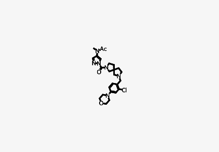 CC(=O)N(C)c1cnn(C(=O)N2CCC3(CCN(Cc4ccc(N5CCOCC5)cc4Cl)C3)C2)c1